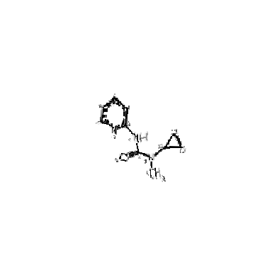 CN(C(=O)Nc1ccccn1)C1CC1